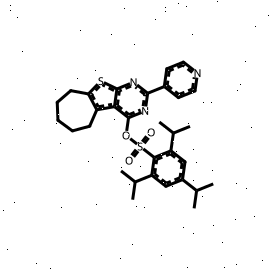 CC(C)c1cc(C(C)C)c(S(=O)(=O)Oc2nc(-c3ccncc3)nc3sc4c(c23)CCCCC4)c(C(C)C)c1